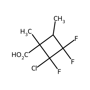 CC1C(F)(F)C(F)(Cl)C1(C)C(=O)O